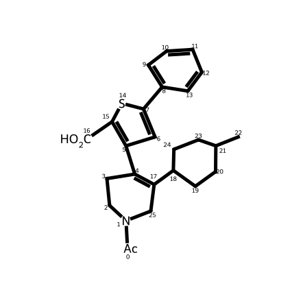 CC(=O)N1CCC(c2cc(-c3ccccc3)sc2C(=O)O)=C(C2CCC(C)CC2)C1